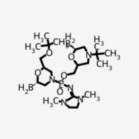 B[C@H]1CN(C(C)(C)C)CC(COP(=O)(N=C2N(C)CCN2C)N2CC(COC(C)(C)C)O[C@@H](B)C2)O1